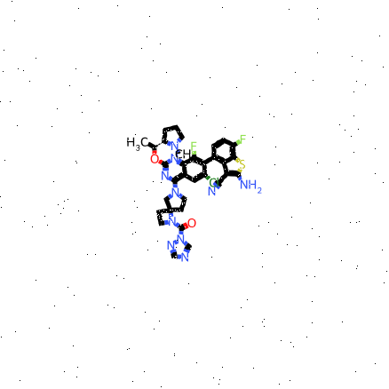 CC(Oc1nc(N2CCC3(CCN3C(=O)n3cncn3)C2)c2cc(Cl)c(-c3ccc(F)c4sc(N)c(C#N)c34)c(F)c2n1)[C@@H]1CCCN1C